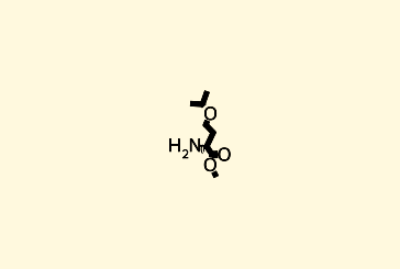 COC(=O)[C@H](N)CCOC(C)C